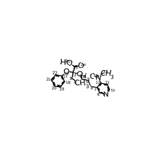 CCC(OCCCc1cnccc1N(C)C)(Oc1ccccc1)C(=O)O